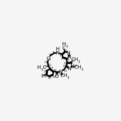 Cc1nnc2cc1NCCOC[C@@H](C)c1cc(F)ccc1C(=O)N(C)Cc1nn(C)c(C)c1-2